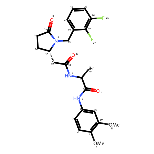 COc1ccc(NC(=O)C(NC(=O)C[C@@H]2CCC(=O)N2Cc2cccc(F)c2F)C(C)C)cc1OC